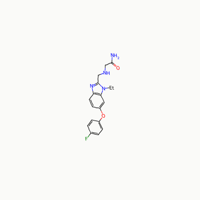 CCn1c(CNCC(N)=O)nc2ccc(Oc3ccc(F)cc3)cc21